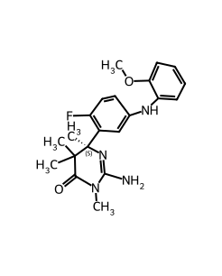 COc1ccccc1Nc1ccc(F)c([C@@]2(C)N=C(N)N(C)C(=O)C2(C)C)c1